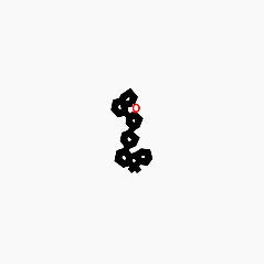 CC1(C)c2ccccc2-c2c(-c3ccc(-c4ccc5c(c4)-c4cccc6cccc(c46)O5)cc3)cccc21